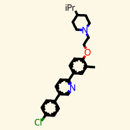 Cc1cc(-c2ccc(-c3ccc(Cl)cc3)cn2)ccc1OCCN1CCC(C(C)C)CC1